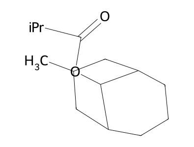 CC1CC2CCCC(C1)C2OC(=O)C(C)C